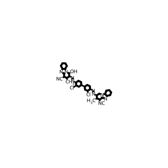 [C-]#[N+]c1c(C)c(N=Nc2ccc(-c3ccc(N=Nc4c(C)c(C#N)c5nc6ccccc6n5c4O)c(Cl)c3)cc2Cl)cn2c1nc1ccccc12